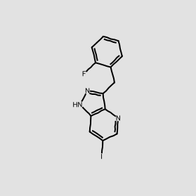 Fc1ccccc1Cc1n[nH]c2cc(I)cnc12